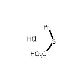 CC(C)SC(=O)O.Cl